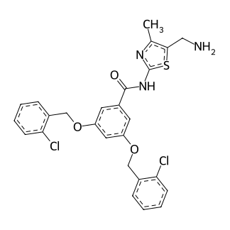 Cc1nc(NC(=O)c2cc(OCc3ccccc3Cl)cc(OCc3ccccc3Cl)c2)sc1CN